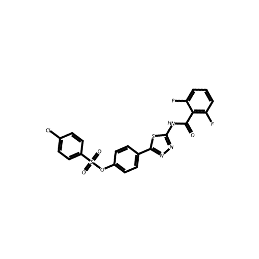 O=C(Nc1nnc(-c2ccc(OS(=O)(=O)c3ccc(Cl)cc3)cc2)s1)c1c(F)cccc1F